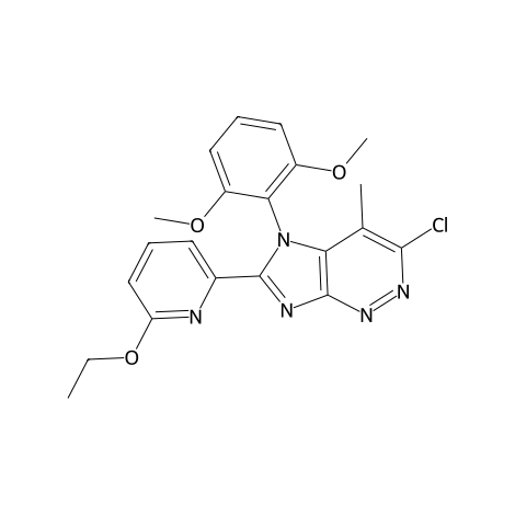 CCOc1cccc(-c2nc3nnc(Cl)c(C)c3n2-c2c(OC)cccc2OC)n1